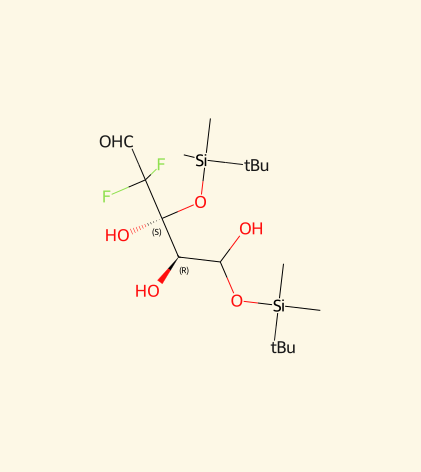 CC(C)(C)[Si](C)(C)OC(O)[C@@H](O)[C@](O)(O[Si](C)(C)C(C)(C)C)C(F)(F)C=O